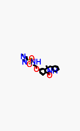 Cn1cnc(S(=O)(=O)NCCOc2ccc3c(c2)C(C)(Cc2ccccc2)NC3=O)c1